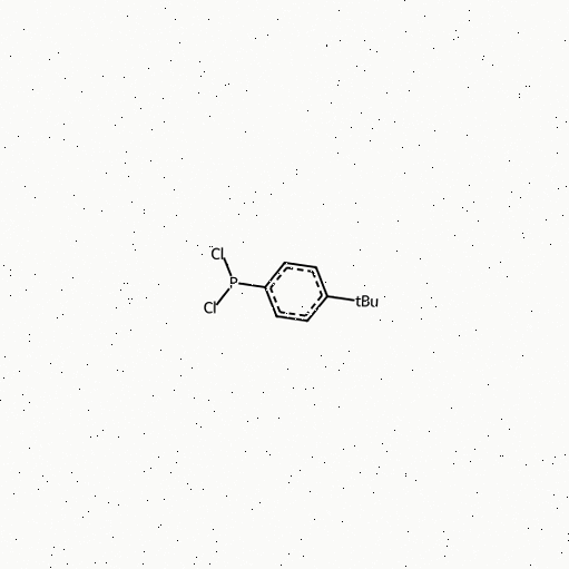 CC(C)(C)c1ccc(P(Cl)Cl)cc1